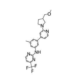 COCC1CCN(c2cc(-c3cc(C)cc(Nc4nccc(C(F)(F)F)n4)c3)ccn2)C1